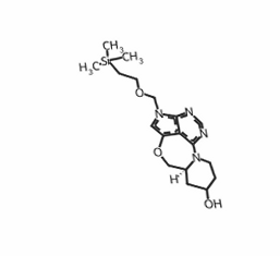 C[Si](C)(C)CCOCn1cc2c3c(ncnc31)N1CCC(O)C[C@H]1CO2